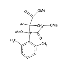 COCC(=O)[N+](OC)(c1c(C)cccc1C)C(C)(C(C)=O)C(=O)OC